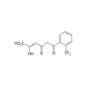 O=C(/C=C(\O)C(=O)O)CC(=O)c1ccccc1C(F)(F)F